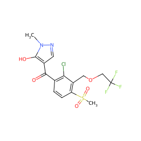 Cn1ncc(C(=O)c2ccc(S(C)(=O)=O)c(COCC(F)(F)F)c2Cl)c1O